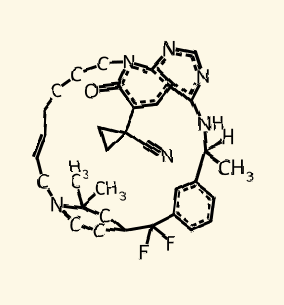 C[C@H]1Nc2ncnc3c2cc(C2(C#N)CC2)c(=O)n3CCCC/C=C/CN2CCC(CC2(C)C)C(F)(F)c2cccc1c2